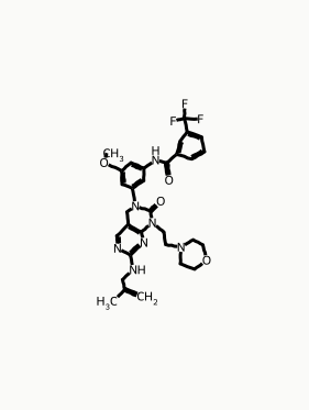 C=C(C)CNc1ncc2c(n1)N(CCN1CCOCC1)C(=O)N(c1cc(NC(=O)c3cccc(C(F)(F)F)c3)cc(OC)c1)C2